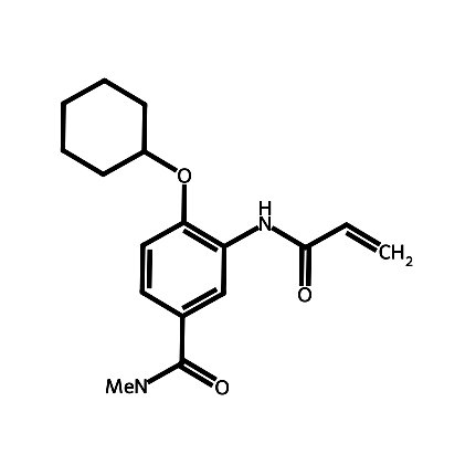 C=CC(=O)Nc1cc(C(=O)NC)ccc1OC1CCCCC1